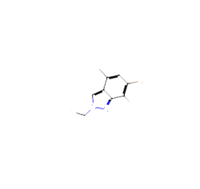 Cc1cc(Br)c(Cl)c2nn(CC(=O)O)cc12